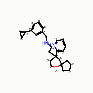 c1ccc(C2(CCNCc3cccc(C4CC4)c3)CCOC3(CCCC3)C2)nc1